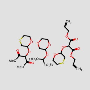 C=CCOC(=O)C(OC1CSCCO1)C(=O)OCC=C.CCOC(=O)C(OC1COCCO1)C(=O)OCC.COC(=O)C(OC1CSCCO1)C(=O)OC